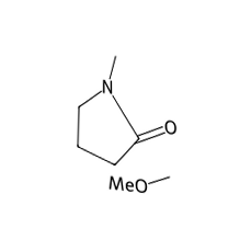 CN1CCCC1=O.COC